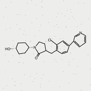 O=C1C(Cc2ccc(-c3cccnc3)cc2Cl)CCN1[C@H]1CC[C@@H](O)CC1